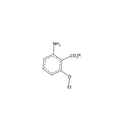 CCOc1cccc(N)c1C(=O)O